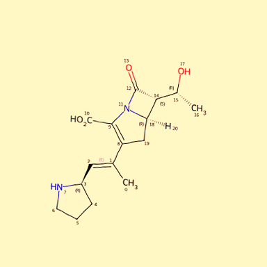 C/C(=C\[C@H]1CCCN1)C1=C(C(=O)O)N2C(=O)[C@H]([C@@H](C)O)[C@H]2C1